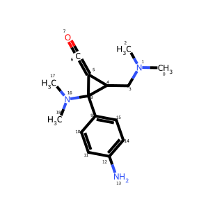 CN(C)CC1C(=C=O)C1(c1ccc(N)cc1)N(C)C